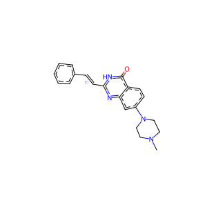 CN1CCN(c2ccc3c(=O)[nH]c(/C=C/c4ccccc4)nc3c2)CC1